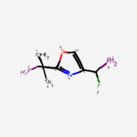 CC(C)(P)c1nc(C(F)P)co1